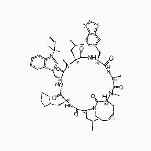 C=CC(C)(C)n1cc(C[C@@H]2NC(=O)[C@H](CC3CCCC3)NC(=O)[C@H](CC(C)C)N3CC/C=C\C[C@@H](C3=O)N(C)C(=O)[C@H](C)NC(=O)[C@H](Cc3ccc4ncsc4c3)NC(=O)[C@H](CC(C)C)N(C)C2=O)c2ccccc21